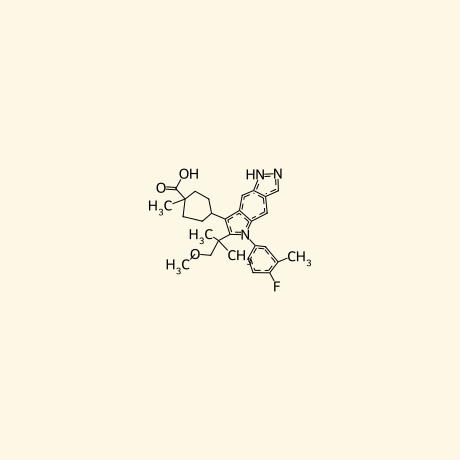 COCC(C)(C)c1c(C2CCC(C)(C(=O)O)CC2)c2cc3[nH]ncc3cc2n1-c1ccc(F)c(C)c1